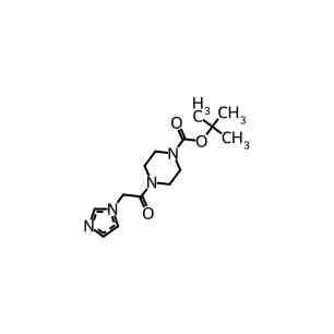 CC(C)(C)OC(=O)N1CCN(C(=O)Cn2ccnc2)CC1